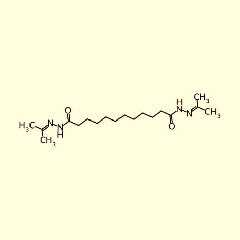 CC(C)=NNC(=O)CCCCCCCCCCC(=O)NN=C(C)C